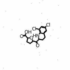 O=C(O)C1CCC(C(=O)C2CCc3cc(Cl)cc(Cl)c3N2)O1